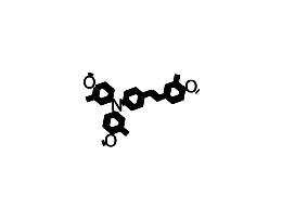 COc1ccc(C=Cc2ccc(N(c3ccc(OC)c(C)c3)c3ccc(OC)c(C)c3)cc2)cc1C